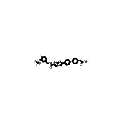 O=C(O)C[C@H]1CC[C@H](c2ccc(-c3cn4cc(C(=O)NCc5ccc(F)c(OC(F)(F)F)c5)nc4s3)cc2)CC1